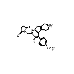 CCOC(=O)c1ccc(-c2c(Cl)c(CN3C(=O)CCC3=O)nc3sc4c(c23)CCNC4)cc1